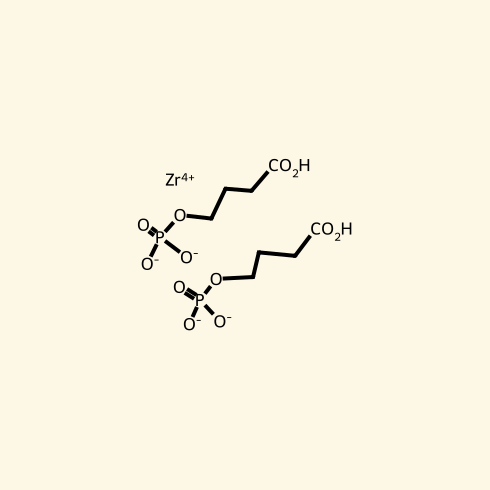 O=C(O)CCCOP(=O)([O-])[O-].O=C(O)CCCOP(=O)([O-])[O-].[Zr+4]